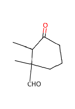 CC1C(=O)CCCC1(C)C=O